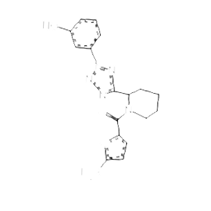 Bc1ccc(C(=O)N2CCCCC2c2nnn(-c3cccc(O)c3)n2)o1